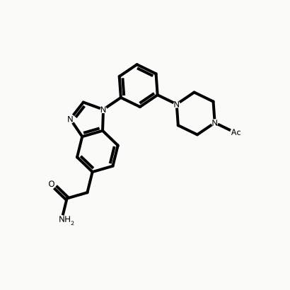 CC(=O)N1CCN(c2cccc(-n3cnc4cc(CC(N)=O)ccc43)c2)CC1